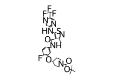 Cc1nsc(Nc2cnc(C(F)(F)F)cn2)c1C(=O)Nc1ccc(F)c(OC2CCN(C(=O)OC(C)(C)C)CC2)c1